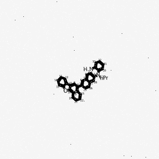 CCCN(c1ccc2cc(-c3cc4c5ccccc5oc4c4ccccc34)ccc2c1)c1ccccc1N